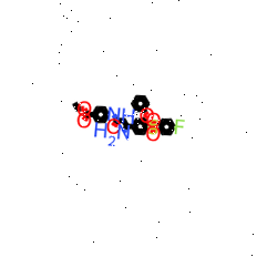 CCOC(=O)c1ccc(NC(=O)CC(N)c2ccc(S(=O)(=O)c3ccc(F)cc3)c(Oc3ccccc3)c2)cc1